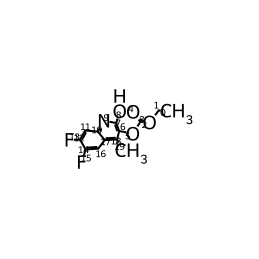 CCOC(=O)Oc1c(O)nc2cc(F)c(F)cc2c1C